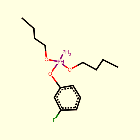 CCCCO[PH](P)(OCCCC)Oc1cccc(F)c1